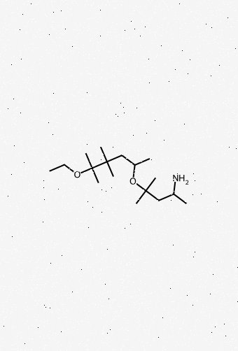 CCOC(C)(C)C(C)(C)CC(C)OC(C)(C)CC(C)N